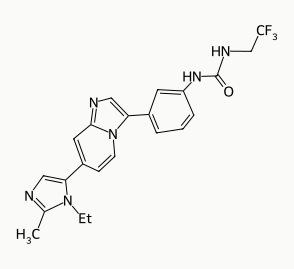 CCn1c(-c2ccn3c(-c4cccc(NC(=O)NCC(F)(F)F)c4)cnc3c2)cnc1C